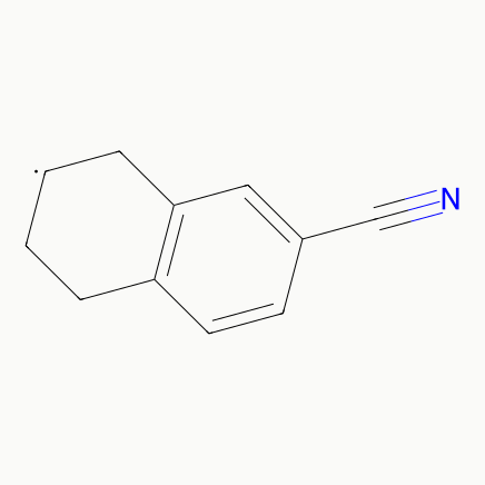 N#Cc1ccc2c(c1)C[CH]CC2